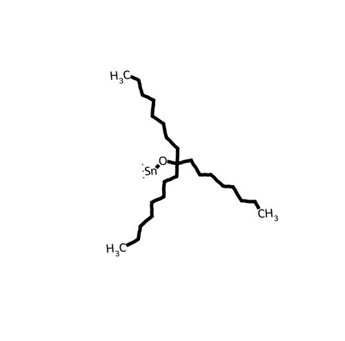 CCCCCCCCC(CCCCCCCC)(CCCCCCCC)[O][Sn]